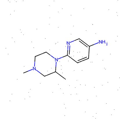 CC1CN(C)CCN1c1ccc(N)cn1